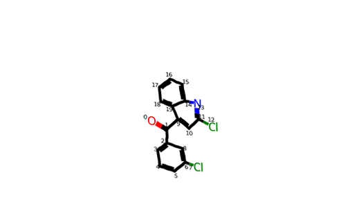 O=C(c1cccc(Cl)c1)c1cc(Cl)nc2ccccc12